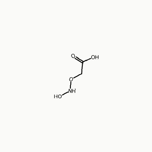 O=C(O)CONO